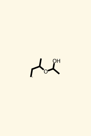 [CH2]CC(C)OC(C)O